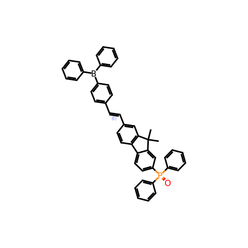 CC1(C)c2cc(/C=C/c3ccc(B(c4ccccc4)c4ccccc4)cc3)ccc2-c2ccc(P(=O)(c3ccccc3)c3ccccc3)cc21